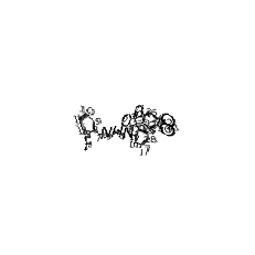 O=C1N(CCCNCc2ccccc2F)c2ccccc2C12COc1cc3c(cc12)OCO3